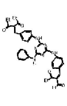 CCC(=O)C(=Cc1ccc(Nc2nc(Nc3ccccc3)nc(Nc3ccc(C=C(C(=O)CC)C(=O)CC)cc3)n2)cc1)C(=O)CC